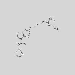 C=CCN(C)CCCCCc1ccc2c(c1)CCN2C(=S)Oc1ccccc1